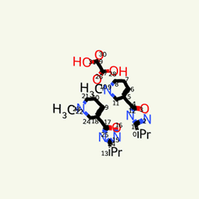 CC(C)c1noc(C2=CCCN(C)C2)n1.CC(C)c1noc(C2=CCCN(C)C2)n1.O=C(O)C(=O)O